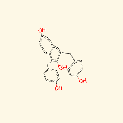 Oc1ccc(Cc2cc3cc(O)ccc3c(Cc3ccc(O)cc3)c2O)cc1